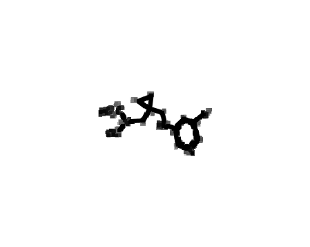 CC(C)(C)N(CC1(CNc2cncc(Br)c2)CC1)C(=O)O